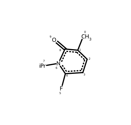 Cc1ccc(F)n(C(C)C)c1=O